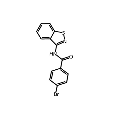 O=C(Nc1nsc2ccccc12)c1ccc(Br)cc1